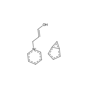 OC=CC[n+]1ccccc1.c1cc2cc-2c1